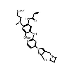 C=CC(=O)Nc1cc(Nc2nccc(-n3cc(CN4CCC4)c(C(C)C)n3)n2)c(OC)cc1N(C)CCOC